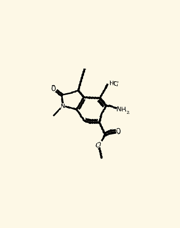 COC(=O)c1cc2c(c(C)c1N)C(C)C(=O)N2C.Cl